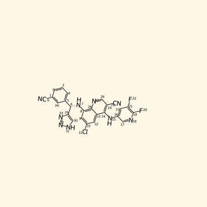 N#Cc1cccc([C@H](Nc2cc(Cl)cc3c(Nc4cnc(F)c(F)c4)c(C#N)cnc23)c2c[nH]nn2)c1